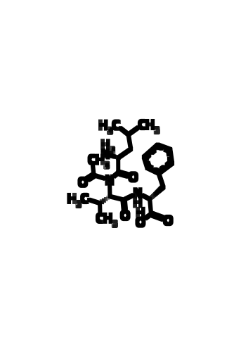 CC(=O)N(C(=O)[C@@H](N)CC(C)C)[C@H](C(=O)N[C@@H](Cc1ccccc1)C(=O)O)C(C)C